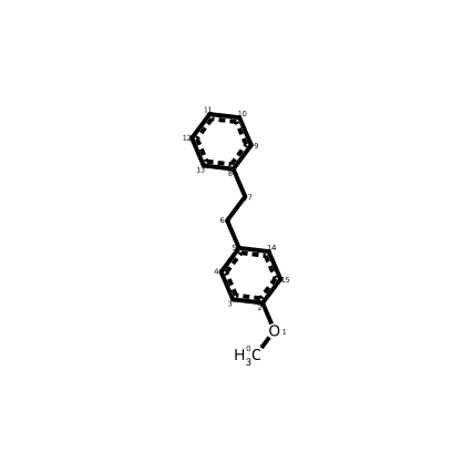 COc1ccc(C[CH]c2ccccc2)cc1